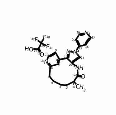 CC1CCCCc2cc(ccn2)-c2nn(-c3ccncc3)cc2NC1=O.O=C(O)C(F)(F)F